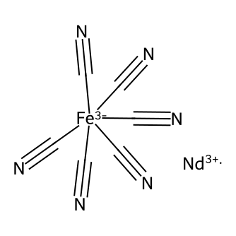 N#[C][Fe-3]([C]#N)([C]#N)([C]#N)([C]#N)[C]#N.[Nd+3]